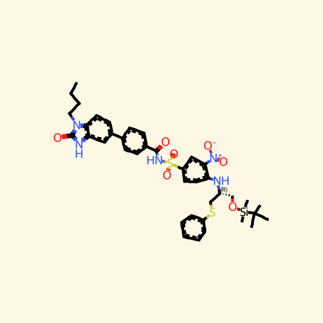 CCCCn1c(=O)[nH]c2cc(-c3ccc(C(=O)NS(=O)(=O)c4ccc(N[C@H](CO[Si](C)(C)C(C)(C)C)CSc5ccccc5)c([N+](=O)[O-])c4)cc3)ccc21